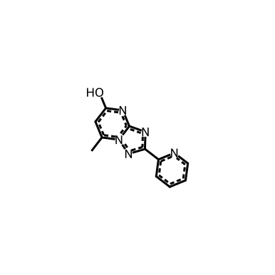 Cc1cc(O)nc2nc(-c3ccccn3)nn12